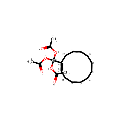 CC(=O)O[Si](OC(C)=O)(OC(C)=O)C1=CCCCCCCCCCC1